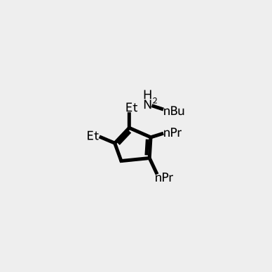 CCCC1=C(CCC)C(CC)=C(CC)C1.CCCCN